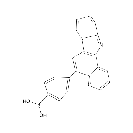 OB(O)c1ccc(-c2cc3c(nc4ccccn43)c3ccccc23)cc1